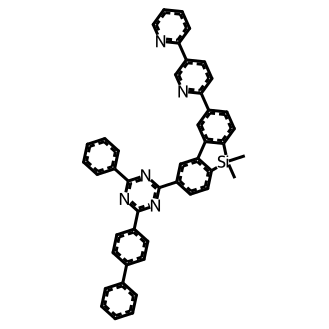 C[Si]1(C)c2ccc(-c3ccc(-c4ccccn4)cn3)cc2-c2cc(-c3nc(-c4ccccc4)nc(-c4ccc(-c5ccccc5)cc4)n3)ccc21